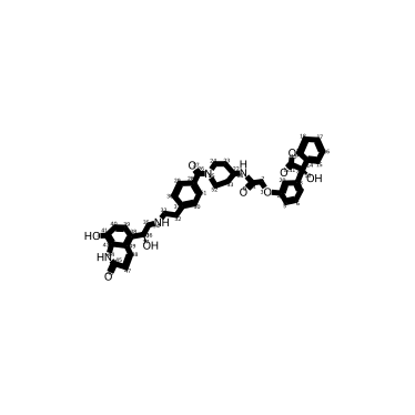 O=C(COc1cccc([C@](O)(C(=O)O)c2ccccc2)c1)NC1CCN(C(=O)c2ccc(CCNC[C@H](O)c3ccc(O)c4[nH]c(=O)ccc34)cc2)CC1